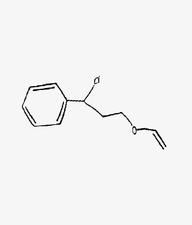 C=COCCC(Cl)c1ccccc1